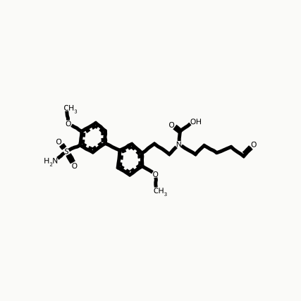 COc1ccc(-c2ccc(OC)c(S(N)(=O)=O)c2)cc1CCN(CCCCC=O)C(=O)O